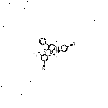 Cc1cc(C#N)cc(C)c1Oc1nc(Nc2ccc(C#N)cc2)ncc1-c1ccccc1